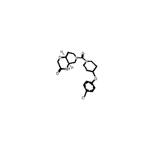 O=C1CO[C@H]2CCN(C(=O)N3CCC(Oc4ccc(Cl)cc4)CC3)C[C@H]2N1